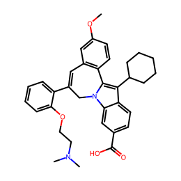 COc1ccc2c(c1)C=C(c1ccccc1OCCN(C)C)Cn1c-2c(C2CCCCC2)c2ccc(C(=O)O)cc21